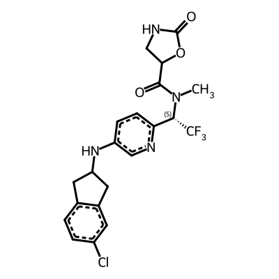 CN(C(=O)C1CNC(=O)O1)[C@@H](c1ccc(NC2Cc3ccc(Cl)cc3C2)cn1)C(F)(F)F